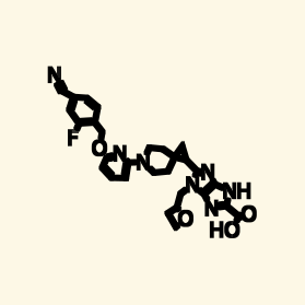 N#Cc1ccc(COc2cccc(N3CCC4(CC3)CC4c3nc4[nH]c(C(=O)O)nc4n3CC3CCO3)n2)c(F)c1